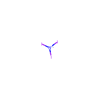 I[N+](I)I